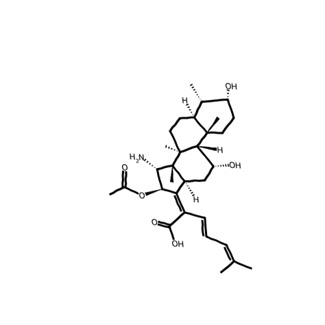 CC(=O)O[C@@H]1/C(=C(/C=C/C=C(C)C)C(=O)O)[C@@H]2C[C@@H](O)[C@H]3[C@@]4(C)CC[C@@H](O)[C@@H](C)[C@@H]4CC[C@]3(C)[C@@]2(C)[C@H]1N